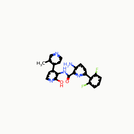 Cc1cnccc1-c1ccnc(O)c1NC(=O)c1nc(-c2c(F)cccc2F)ccc1N